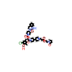 Cc1cc(C[C@@H](OC(=O)N2CCC(N3CCc4ccccc4NC3=O)CC2)C(=O)N2CCC(C3CCN(CCC(=O)OCCN4CCCC4=O)CC3)CC2)cc(Cl)c1O